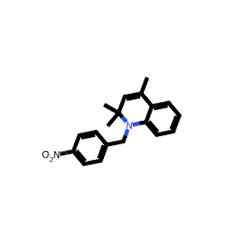 CC1=CC(C)(C)N(Cc2ccc([N+](=O)[O-])cc2)c2ccccc21